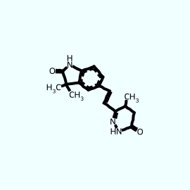 CC1CC(=O)NN=C1C=Cc1ccc2c(c1)C(C)(C)C(=O)N2